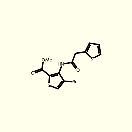 COC(=O)c1scc(Br)c1NC(=O)Cc1cccs1